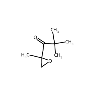 CC(C)(C)C(=O)C1(C)CO1